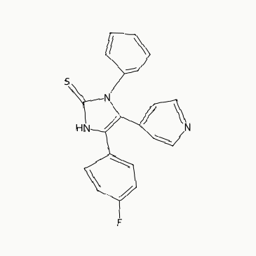 Fc1ccc(-c2[nH]c(=S)n(-c3ccccc3)c2-c2ccncc2)cc1